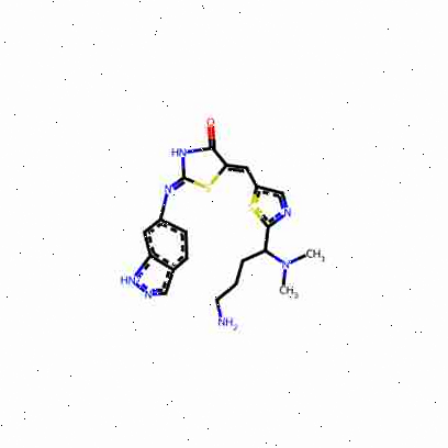 CN(C)C(CCCN)c1ncc(C=C2SC(=Nc3ccc4cn[nH]c4c3)NC2=O)s1